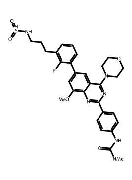 CNC(=O)Nc1ccc(-c2nc(N3CCOCC3)c3cc(-c4cccc(CCCN[SH](=O)=O)c4F)cc(OC)c3n2)cc1